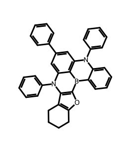 c1ccc(-c2cc3c4c(c2)N(c2ccccc2)c2c(oc5c2CCCC5)B4c2ccccc2N3c2ccccc2)cc1